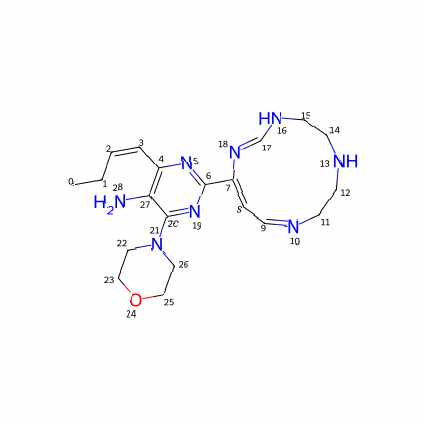 CC/C=C\c1nc(C2=C/C=N\CCNCCN\C=N\2)nc(N2CCOCC2)c1N